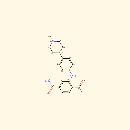 CC(=O)c1ccc(C(N)=O)cc1Nc1ccc(C2CCN(C)CC2)cc1